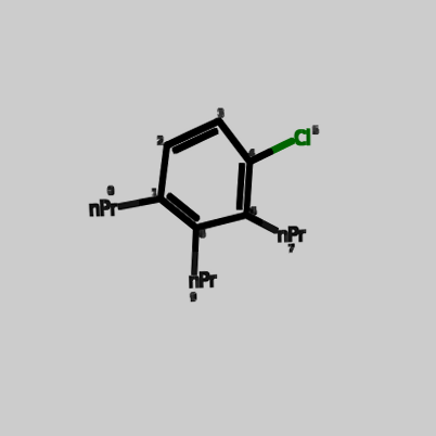 CCCc1ccc(Cl)c(CCC)c1CCC